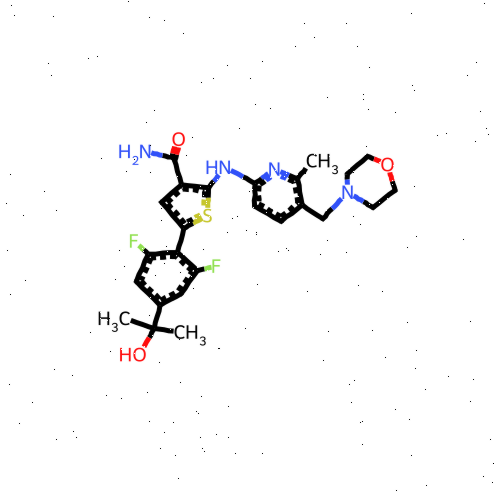 Cc1nc(Nc2sc(-c3c(F)cc(C(C)(C)O)cc3F)cc2C(N)=O)ccc1CN1CCOCC1